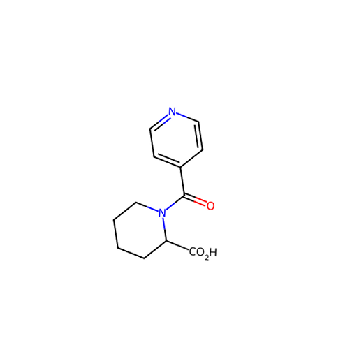 O=C(O)C1CCCCN1C(=O)c1ccncc1